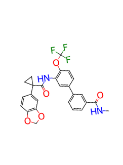 CNC(=O)c1cccc(-c2ccc(OC(F)(F)F)c(NC(=O)C3(c4ccc5c(c4)OCO5)CC3)c2)c1